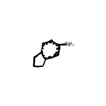 Nc1ccc2c(c1)C[CH]C2